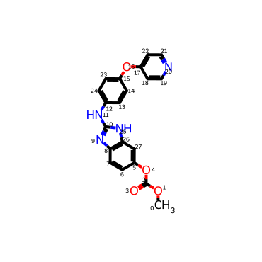 COC(=O)Oc1ccc2nc(Nc3ccc(Oc4ccncc4)cc3)[nH]c2c1